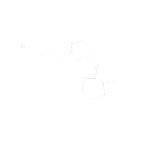 COCOc1cccc(/C=C2\CCCCC2=O)c1